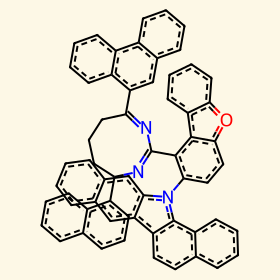 c1ccc2cc3c(cc2c1)c1ccc2ccccc2c1n3-c1ccc2oc3ccccc3c2c1C1=N/C(c2cccc3ccccc23)CCC/C(c2cc3ccccc3c3ccccc23)=N\1